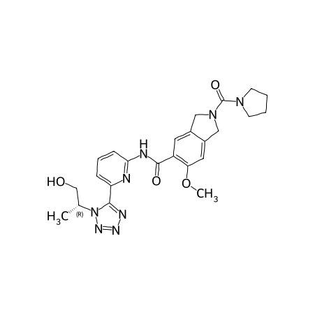 COc1cc2c(cc1C(=O)Nc1cccc(-c3nnnn3[C@H](C)CO)n1)CN(C(=O)N1CCCC1)C2